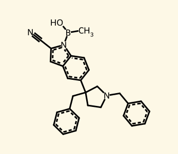 CB(O)n1c(C#N)cc2cc(C3(Cc4ccccc4)CCN(Cc4ccccc4)C3)ccc21